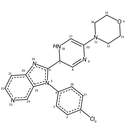 Clc1ccc(-n2c(C3C=NC(N4CCOCC4)=CN3)nc3ccncc32)cc1